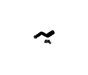 C=CC[O].[AlH3]